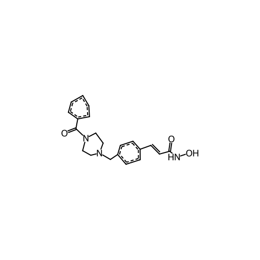 O=C(C=Cc1ccc(CN2CCN(C(=O)c3ccccc3)CC2)cc1)NO